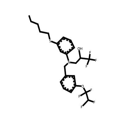 CCCCCSc1cccc(N(Cc2cccc(OC(F)(F)C(F)F)c2)CC(O)C(F)(F)F)c1